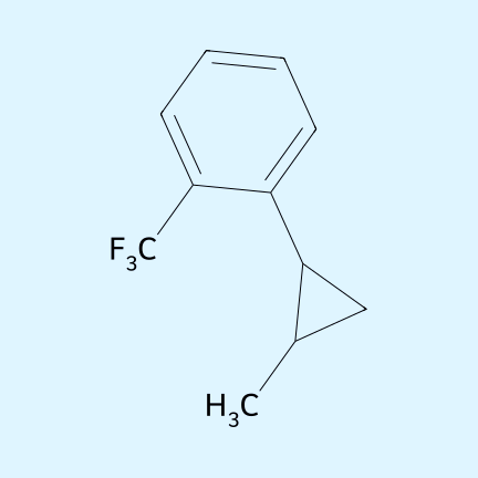 CC1CC1c1ccccc1C(F)(F)F